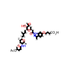 CC(=O)O[C@@H](C)/C=C\C(=O)N[C@@H]1C[C@H](C)[C@H](C/C=C(C)/C=C/[C@H]2O[C@H](CC(=O)NN=C(C)c3ccc(OCCCC(=O)O)cc3)C[C@@]3(CO3)[C@@H]2O)O[C@@H]1C